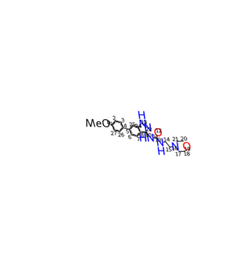 COc1ccc(-c2ccc3c(NC(=O)NCCN4CCOCC4)n[nH]c3c2)cc1